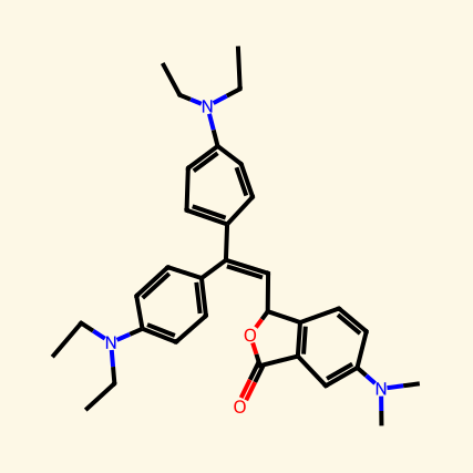 CCN(CC)c1ccc(C(=CC2OC(=O)c3cc(N(C)C)ccc32)c2ccc(N(CC)CC)cc2)cc1